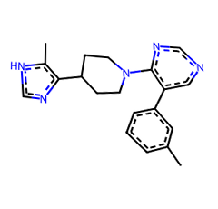 Cc1cccc(-c2cncnc2N2CCC(c3nc[nH]c3C)CC2)c1